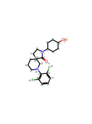 O=C1N(C2CCC(O)CC2)CC[C@@]12CCCN(c1c(F)cccc1F)C2